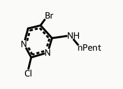 CCCCCNc1nc(Cl)ncc1Br